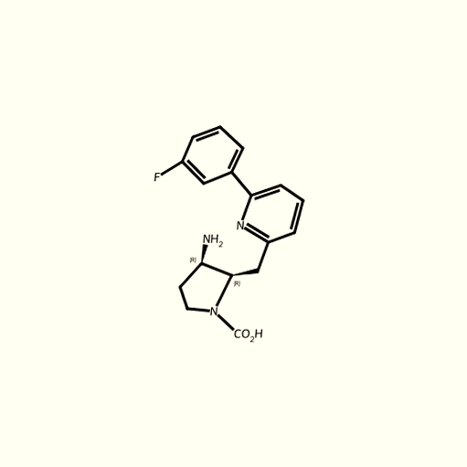 N[C@@H]1CCN(C(=O)O)[C@@H]1Cc1cccc(-c2cccc(F)c2)n1